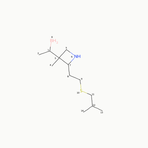 BC(C)C1(C)CNC1CCSCC(C)C